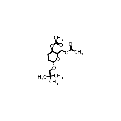 CC(=O)OCC1O[C@H](OCC(C)(C)C)CCC1OC(C)=O